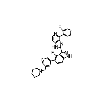 Fc1ccccc1-c1nccc2[nH]c(-c3n[nH]c4ccc(-c5cncc(CN6CCCCC6)c5)c(F)c34)nc12